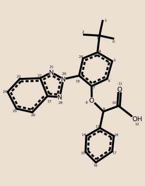 CC(C)(C)c1ccc(OC(C(=O)O)c2ccccc2)c(-n2nc3ccccc3n2)c1